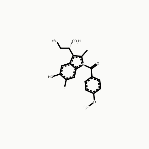 Cc1c([C@H](CC(C)(C)C)C(=O)O)c2cc(O)c(F)cc2n1C(=O)c1ccc(OC(F)(F)F)cc1